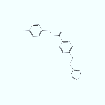 O=C(OCc1ccc(Cl)cc1)c1ccc(CCc2c[nH]cn2)cc1